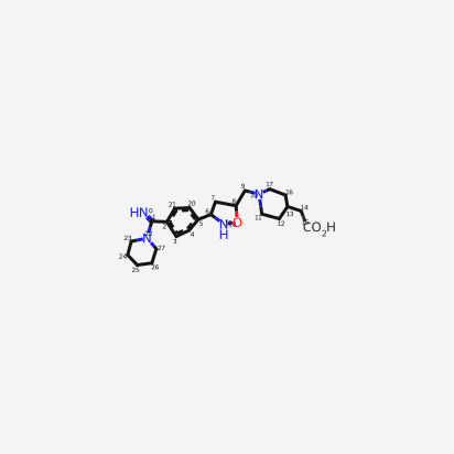 N=C(c1ccc(C2CC(CN3CCC(CC(=O)O)CC3)ON2)cc1)N1CCCCC1